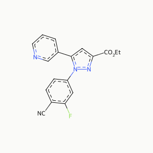 CCOC(=O)c1cc(-c2cccnc2)n(-c2ccc(C#N)c(F)c2)n1